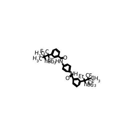 CCCCC(C)(C)C(c1cccc(C(=O)Nc2ccc(NC(=O)c3cccc(C(CC)(CCCC)C(C)(C(F)(F)F)C(F)(F)F)c3)cc2)c1)(C(F)(F)F)C(F)(F)F